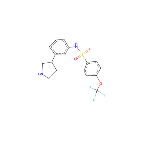 O=S(=O)(Nc1cccc(C2CCNC2)c1)c1ccc(OC(F)(F)F)cc1